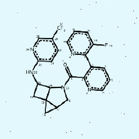 O=C(c1ncccc1-c1ncccc1F)N1CC2CC23CC(Nc2ccc(C(F)(F)F)cn2)C13